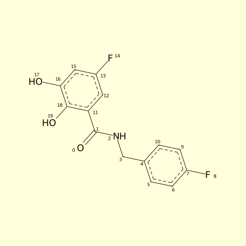 O=C(NCc1ccc(F)cc1)c1cc(F)cc(O)c1O